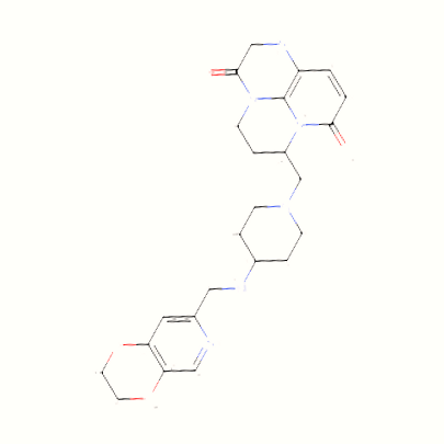 O=C1CNc2ccc(=O)n3c2N1CCC3CN1CCC(NCc2cc3c(cn2)OCCO3)CC1